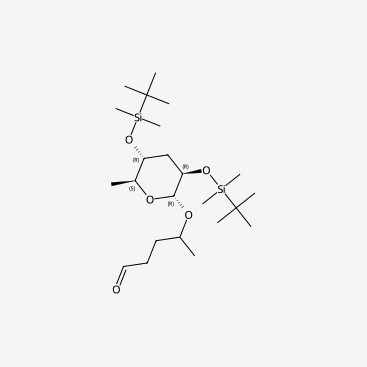 CC(CCC=O)O[C@@H]1O[C@@H](C)[C@H](O[Si](C)(C)C(C)(C)C)C[C@H]1O[Si](C)(C)C(C)(C)C